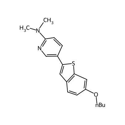 CCCCOc1ccc2cc(-c3ccc(N(C)C)nc3)sc2c1